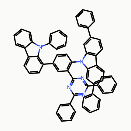 c1ccc(-c2ccc3c4ccc(-c5ccccc5)cc4n(-c4ccc(-c5cccc6c7ccccc7n(-c7ccccc7)c56)cc4-c4nc(-c5ccccc5)nc(-c5ccccc5)n4)c3c2)cc1